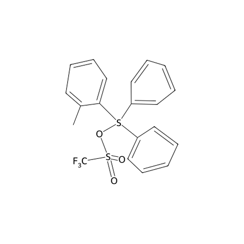 Cc1ccccc1S(OS(=O)(=O)C(F)(F)F)(c1ccccc1)c1ccccc1